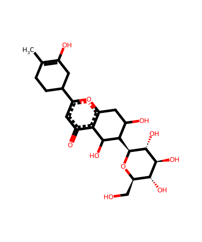 CC1=C(O)CC(c2cc(=O)c3c(o2)CC(O)C([C@@H]2O[C@H](CO)[C@@H](O)[C@H](O)[C@H]2O)C3O)CC1